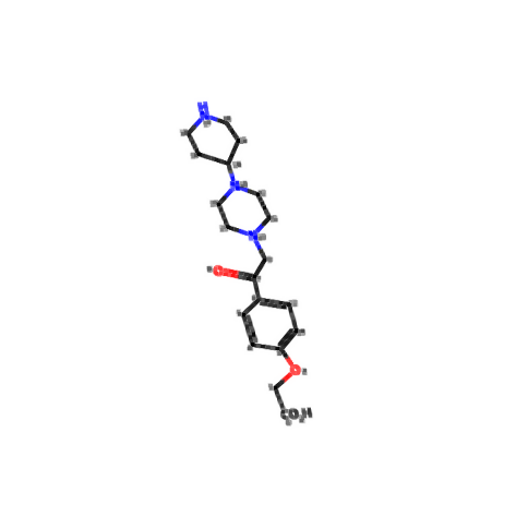 O=C(O)COc1ccc(C(=O)CN2CCN(C3CCNCC3)CC2)cc1